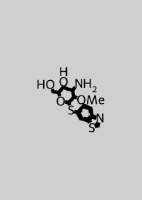 COC1C(Sc2ccc3ncsc3c2)OC(CO)C(O)C1N